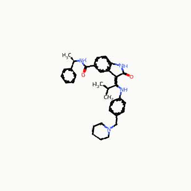 CC(C)/C(Nc1ccc(CN2CCCCC2)cc1)=C1/C(=O)Nc2ccc(C(=O)N[C@H](C)c3ccccc3)cc21